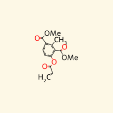 C=CC(=O)Oc1ccc(C(=O)OC)c(C)c1C(=O)OC